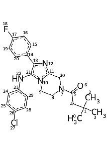 CC(C)(C)CC(=O)N1CCn2c(nc(-c3ccc(F)cc3)c2Nc2ccc(Cl)cc2)C1